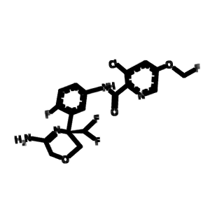 NC1=N[C@@](c2cc(NC(=O)c3ncc(OCF)cc3Cl)ccc2F)(C(F)F)COC1